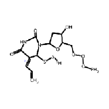 [3H]SSC1/C(=C\C=C)C(=O)NC(=O)N1C1CC(O)C(COOOP)O1